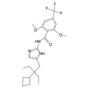 CCC(CC)(Cc1cnc(NC(=O)c2c(OC)cc(C(F)(F)F)cc2OC)[nH]1)C1CCC1